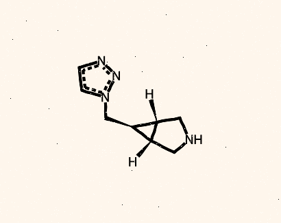 c1cn(C[C@H]2[C@@H]3CNC[C@@H]32)nn1